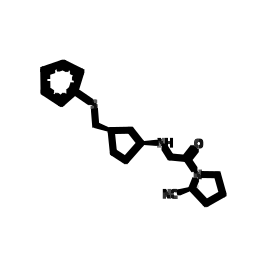 N#C[C@@H]1CCCN1C(=O)CN[C@H]1CC[C@@H](CSc2ccccc2)C1